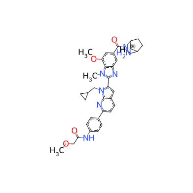 COCC(=O)Nc1ccc(-c2ccc3cc(-c4nc5cc(C(=O)N6CC7CCC6[C@@H]7N)cc(OC)c5n4C)n(CC4CC4)c3n2)cc1